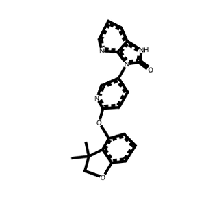 CC1(C)COc2cccc(Oc3ccc(-n4c(=O)[nH]c5cccnc54)cn3)c21